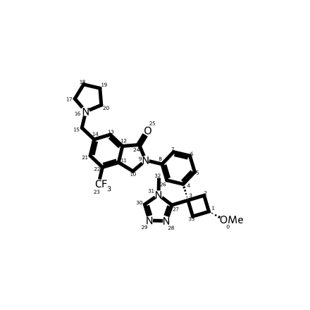 CO[C@H]1C[C@](c2cccc(N3Cc4c(cc(CN5CCCC5)cc4C(F)(F)F)C3=O)c2)(c2nncn2C)C1